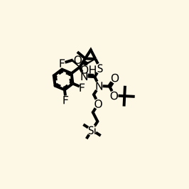 CC(C)(C)OC(=O)N(COCC[Si](C)(C)C)C1=N[C@](CF)(c2cccc(F)c2F)C2(C)C[C@]2(C(=O)O)S1